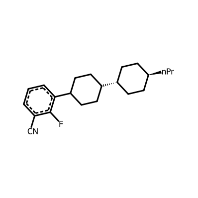 CCC[C@H]1CC[C@H](C2CCC(c3cccc(C#N)c3F)CC2)CC1